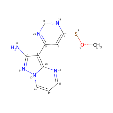 COSc1cc(-c2c(N)nn3cccnc23)ncn1